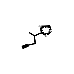 C#CCC(C)c1nnc[nH]1